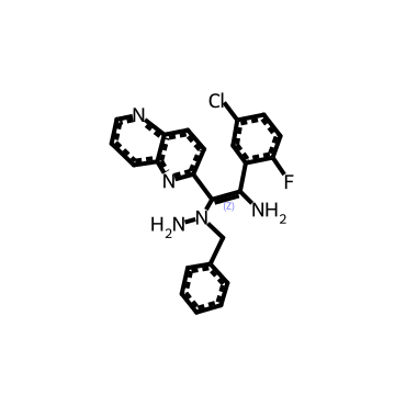 N/C(=C(/c1ccc2ncccc2n1)N(N)Cc1ccccc1)c1cc(Cl)ccc1F